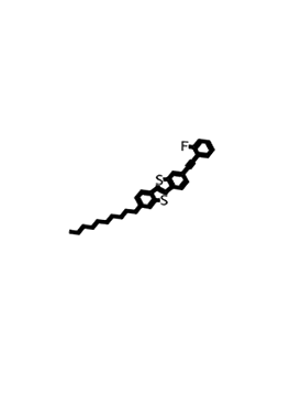 CCCCCCCCCCc1ccc2c(c1)sc1c3ccc(C#Cc4ccccc4F)cc3sc21